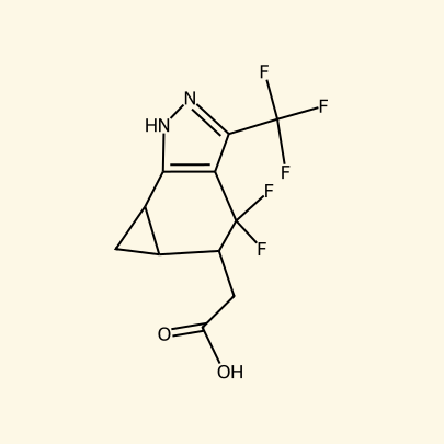 O=C(O)CC1C2CC2c2[nH]nc(C(F)(F)F)c2C1(F)F